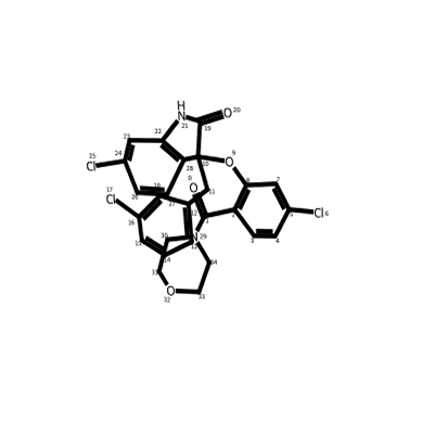 O=C(c1ccc(Cl)cc1OC1(Cc2cccc(Cl)c2)C(=O)Nc2cc(Cl)ccc21)N1CCOCC1